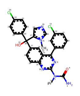 CC(C)N(C(N)=O)c1nc(-c2cccc(Cl)c2)c2cc(C(O)(c3ccc(Cl)cc3)c3cncn3C)ccc2n1